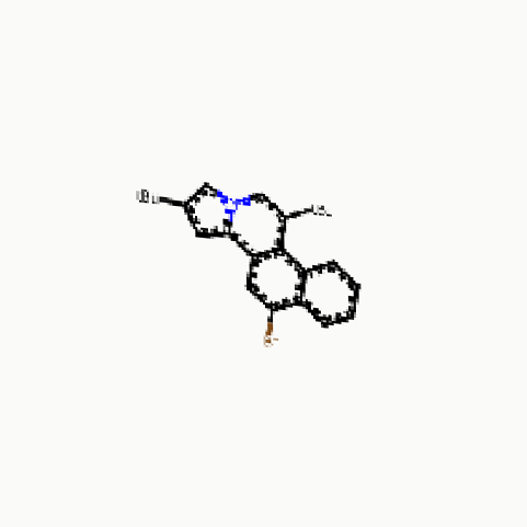 CC(C)(C)c1cc2c3cc(Br)c4ccccc4c3c(C(C)(C)C)cn2c1